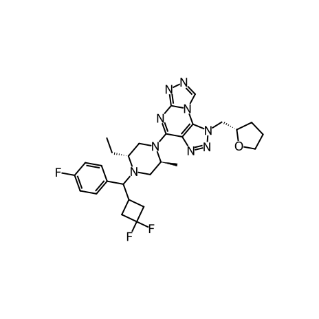 CC[C@@H]1CN(c2nc3nncn3c3c2nnn3C[C@@H]2CCCO2)[C@@H](C)CN1C(c1ccc(F)cc1)C1CC(F)(F)C1